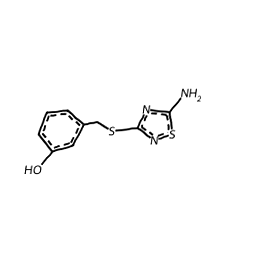 Nc1nc(SCc2cccc(O)c2)ns1